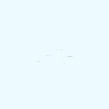 CC(N)CC(C)CCCF